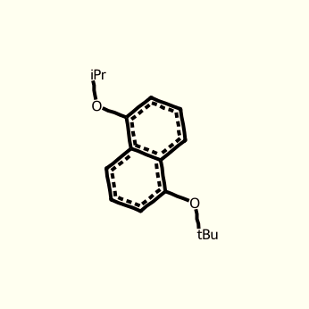 CC(C)Oc1cccc2c(OC(C)(C)C)cccc12